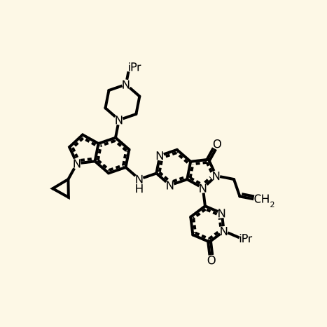 C=CCn1c(=O)c2cnc(Nc3cc(N4CCN(C(C)C)CC4)c4ccn(C5CC5)c4c3)nc2n1-c1ccc(=O)n(C(C)C)n1